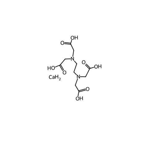 O=C(O)CN(CCN(CC(=O)O)CC(=O)O)CC(=O)O.[CaH2]